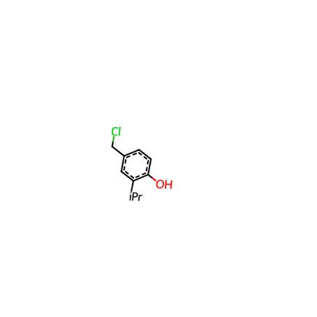 CC(C)c1cc(CCl)ccc1O